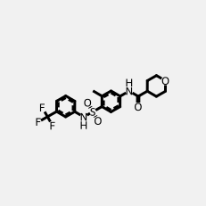 Cc1cc(NC(=O)C2CCOCC2)ccc1S(=O)(=O)Nc1cccc(C(F)(F)F)c1